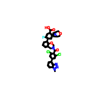 Cn1nnc2c(-c3cc(Cl)c(C(=O)N4COc5c(cccc5-c5cc(N6C7CCC6COC7)c(C(=O)O)cc5F)C4)c(Cl)c3)cccc21